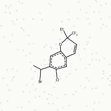 CCC1(C(F)(F)F)C=Cc2cc(Cl)c(C(C)Br)cc2O1